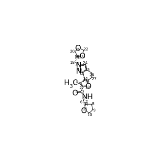 Cc1c(C(=O)NC[C@@H]2CCCO2)oc2c1-c1nn(C[C@@H]3COCO3)cc1CC2